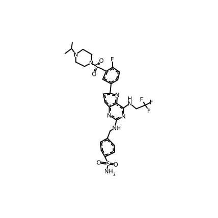 CC(C)N1CCN(S(=O)(=O)c2cc(-c3ccc4nc(NCc5ccc(S(N)(=O)=O)cc5)nc(NCC(F)(F)F)c4n3)ccc2F)CC1